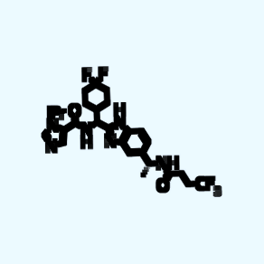 CC(C)n1cncc1C(=O)N[C@H](c1nc2cc([C@@H](C)NC(=O)CCC(F)(F)F)ccc2[nH]1)C1CCC(F)(F)CC1